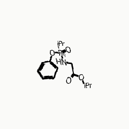 CC(C)OC(=O)CN[P@](=O)(Oc1ccccc1)C(C)C